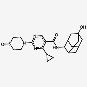 O=C(NC1C2CC3CC1CC(O)(C3)C2)c1cnc(N2CC[S+]([O-])CC2)nc1C1CC1